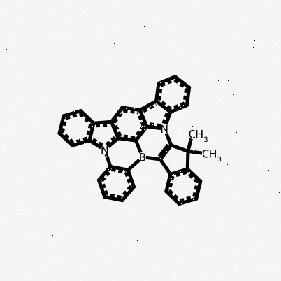 CC1(C)C2=C(B3c4ccccc4-n4c5ccccc5c5cc6c7ccccc7n2c6c3c54)c2ccccc21